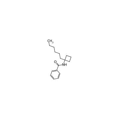 CCCCCCC1(NC(=O)c2ccccc2)CCC1